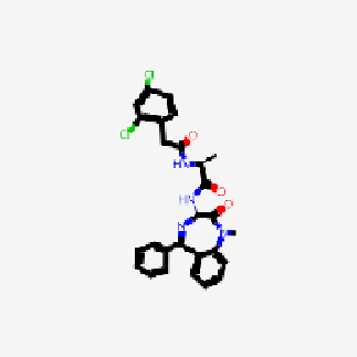 C[C@H](NC(=O)Cc1ccc(Cl)cc1Cl)C(=O)N[C@H]1N=C(c2ccccc2)c2ccccc2N(C)C1=O